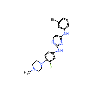 CCc1cccc(Nc2ccnc(Nc3ccc(N4CCN(C)CC4)c(F)c3)n2)c1